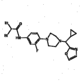 CCC(CC)C(=O)Nc1ccc(N2CCN(C(c3ncco3)C3CC3)CC2)c(F)c1